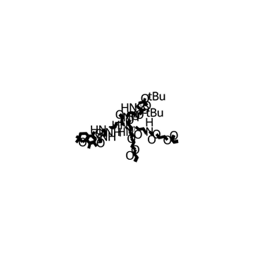 C=CC(=O)OCCOC(=O)NCCCC[C@H](NC(=O)OCCOC(=O)C=C)C(=O)N[C@@H](CCCNC(=N)NS(=O)(=O)c1c(C)c(C)c2c(c1C)CCC(C)(C)O2)C(=O)NCC(=O)N[C@@H](CC(=O)OC(C)(C)C)C(=O)OC(C)(C)C